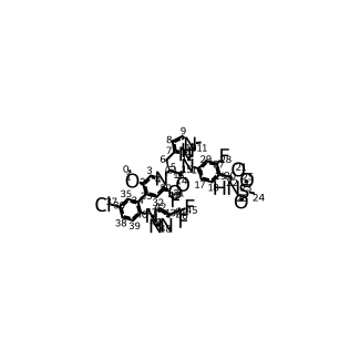 COc1cn([C@@H](Cc2ccn(C)n2)C(=O)Nc2ccc(C(=O)NS(C)(=O)=O)c(F)c2)c(=O)cc1-c1cc(Cl)ccc1-n1cc(C(F)(F)F)nn1